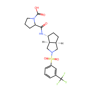 O=C(N[C@@H]1CC[C@H]2CN(S(=O)(=O)c3cccc(C(F)(F)F)c3)C[C@H]21)C1CCCN1C(=O)O